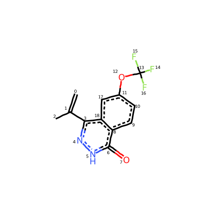 C=C(C)c1n[nH]c(=O)c2ccc(OC(F)(F)F)cc12